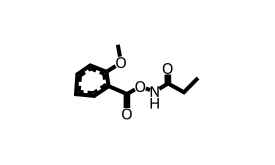 CCC(=O)NOC(=O)c1ccccc1OC